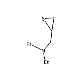 CCN(CC)C[C]1CS1